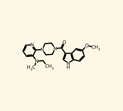 CCN(C)c1cccnc1N1CCN(C(=O)c2c[nH]c3ccc(OC)cc23)CC1